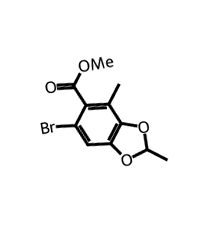 COC(=O)c1c(Br)cc2c(c1C)OC(C)O2